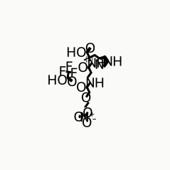 C[C@@](Cc1c[nH]cn1)(NC(=O)CCNC(=O)COCCO[N+](=O)[O-])C(=O)O.O=C(O)C(F)(F)F